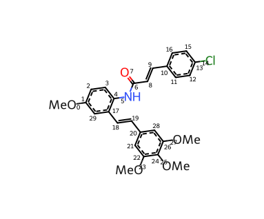 COc1ccc(NC(=O)/C=C/c2ccc(Cl)cc2)c(/C=C/c2cc(OC)c(OC)c(OC)c2)c1